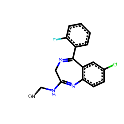 O=NCNC1=Nc2ccc(Cl)cc2C(c2ccccc2F)=NC1